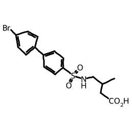 CC(CNS(=O)(=O)c1ccc(-c2ccc(Br)cc2)cc1)CC(=O)O